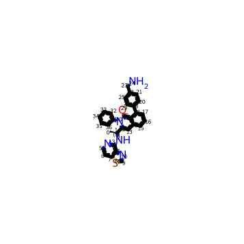 C[C@H](Nc1nccc2scnc12)c1cc2cccc(-c3ccc(CN)cc3)c2c(=O)n1-c1ccccc1